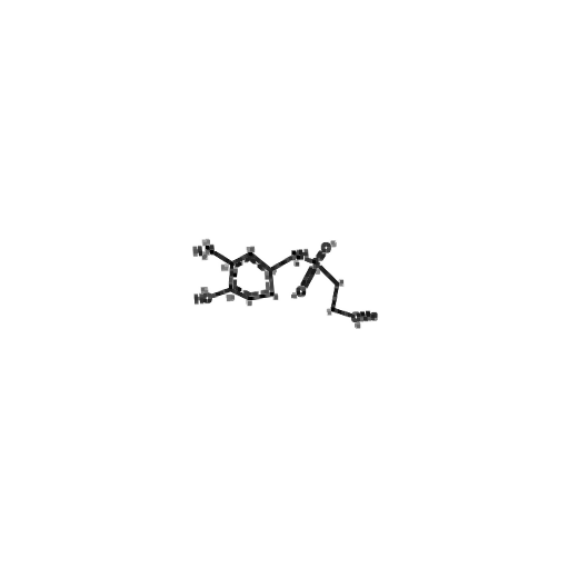 COCCS(=O)(=O)Nc1ccc(O)c(N)c1